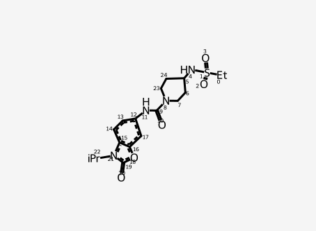 CCS(=O)(=O)NC1CCN(C(=O)Nc2ccc3c(c2)oc(=O)n3C(C)C)CC1